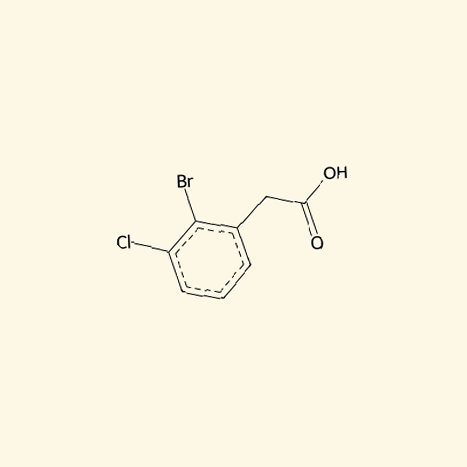 O=C(O)Cc1cccc(Cl)c1Br